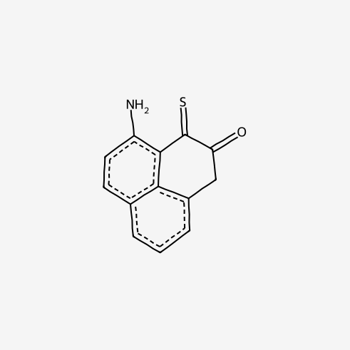 Nc1ccc2cccc3c2c1C(=S)C(=O)C3